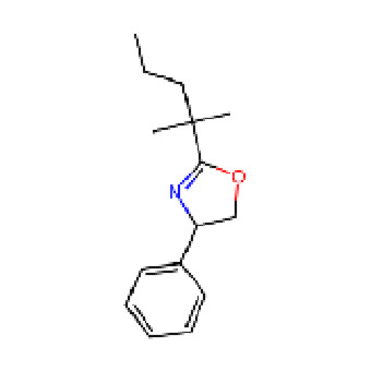 CCCC(C)(C)C1=NC(c2ccccc2)CO1